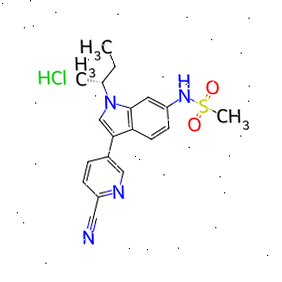 CC[C@@H](C)n1cc(-c2ccc(C#N)nc2)c2ccc(NS(C)(=O)=O)cc21.Cl